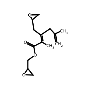 C=C(C)CC(CC1CO1)=C(C)C(=O)OCC1CO1